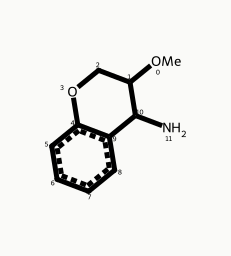 COC1COc2ccccc2C1N